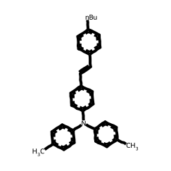 CCCCc1ccc(/C=C/c2ccc(N(c3ccc(C)cc3)c3ccc(C)cc3)cc2)cc1